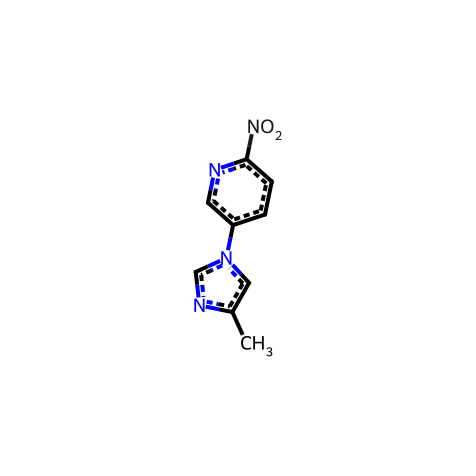 Cc1cn(-c2ccc([N+](=O)[O-])nc2)cn1